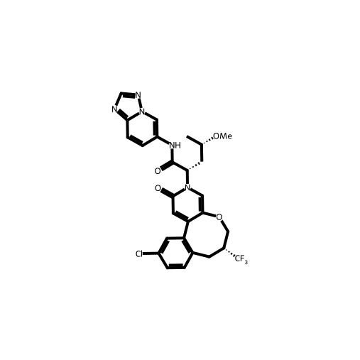 CO[C@@H](C)C[C@@H](C(=O)Nc1ccc2ncnn2c1)n1cc2c(cc1=O)-c1cc(Cl)ccc1C[C@@H](C(F)(F)F)CO2